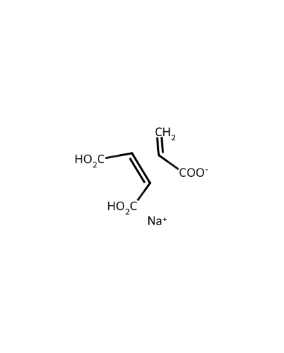 C=CC(=O)[O-].O=C(O)/C=C\C(=O)O.[Na+]